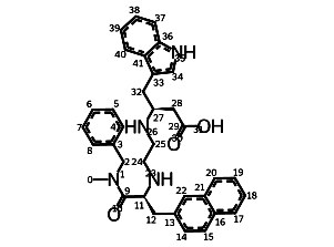 CN(Cc1ccccc1)C(=O)[C@H](Cc1ccc2ccccc2c1)NCCN[C@H](CC(=O)O)Cc1c[nH]c2ccccc12